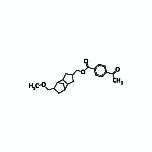 COCC1CC2CC1C1CC(COC(=O)c3ccc(C(C)=O)cc3)CC21